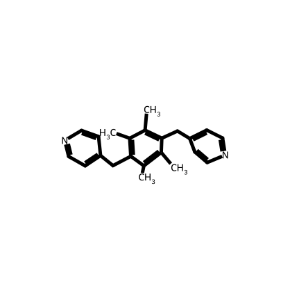 Cc1c(C)c(Cc2ccncc2)c(C)c(C)c1Cc1ccncc1